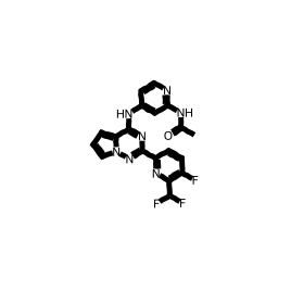 CC(=O)Nc1cc(Nc2nc(-c3ccc(F)c(C(F)F)n3)nn3cccc23)ccn1